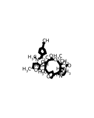 C#Cc1ccc(CN(C)[C@H]2C[C@@H](C)O[C@@H](O[C@@H]3[C@@H](C)C(=O)[C@@H](C)C(=O)O[C@H](CC)[C@@]4(C)OC(=O)N5CCN=C([C@@H]6CO[C@]3(C)C6)[C@H](C)[C@@H]54)[C@H]2O)cc1